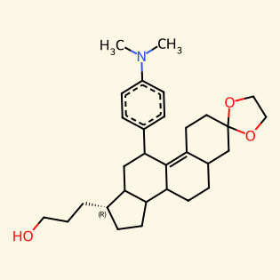 CN(C)c1ccc(C2CC3C(CC[C@@H]3CCCO)C3CCC4CC5(CCC4=C23)OCCO5)cc1